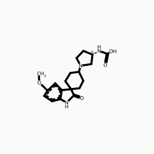 COc1ccc2c(c1)C1(CCC(N3CC[C@H](NC(=O)O)C3)CC1)C(=O)N2